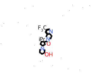 CC(C)[C@]1(C(=O)N2CCc3ncc(C(F)(F)F)cc3C2)CCC(N2CCCC(O)C2)C1